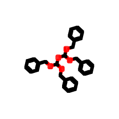 c1ccc(COC(OCc2ccccc2)OC(OCc2ccccc2)OCc2ccccc2)cc1